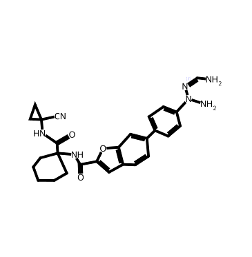 N#CC1(NC(=O)C2(NC(=O)c3cc4ccc(-c5ccc(N(N)/N=C\N)cc5)cc4o3)CCCCC2)CC1